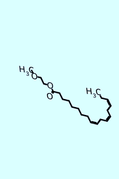 CC/C=C\C/C=C\C/C=C\CCCCCCCC(=O)OCCOC